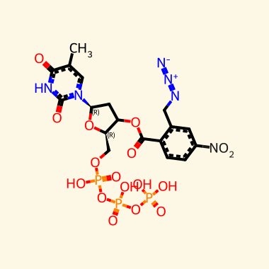 Cc1cn([C@H]2CC(OC(=O)c3ccc([N+](=O)[O-])cc3CN=[N+]=[N-])[C@@H](COP(=O)(O)OP(=O)(O)OP(=O)(O)O)O2)c(=O)[nH]c1=O